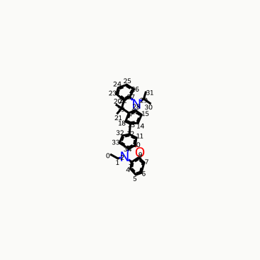 CCN1c2ccccc2Oc2cc(-c3ccc4c(c3)C(C)(C)c3ccccc3N4C(C)C)ccc21